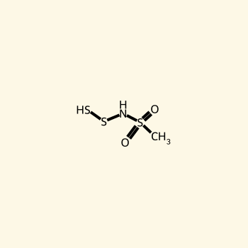 CS(=O)(=O)NSS